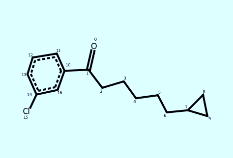 O=C(CCCCCC1CC1)c1cccc(Cl)c1